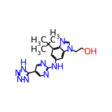 CC(C)(C)c1cc(Nc2ncc(-c3nnn[nH]3)cn2)cc2c1ncn2CCO